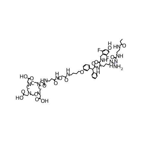 CCC(=O)NCCNC(=O)/N=C(/N)NCCC[C@@H](NC(=O)C(c1ccccc1)c1cccc(OCCCCNC(=O)CONC(=O)CCNC(=O)CN2CCN(CC(=O)O)CCN(CC(=O)O)CCN(CC(=O)O)CC2)c1)C(=O)NCc1c(F)cc(O)cc1F